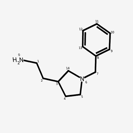 NCCC1CCN(Cc2ccccc2)C1